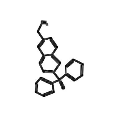 CCc1ccc2cc(P(=O)(c3ccccc3)c3ccccc3)ccc2c1